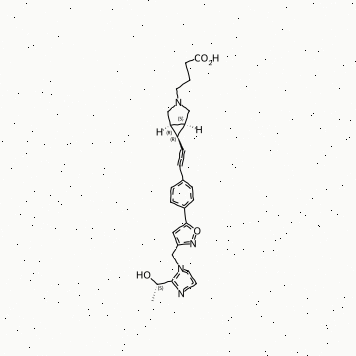 C[C@H](O)c1nccn1Cc1cc(-c2ccc(C#C[C@H]3[C@H]4CN(CCCC(=O)O)C[C@@H]34)cc2)on1